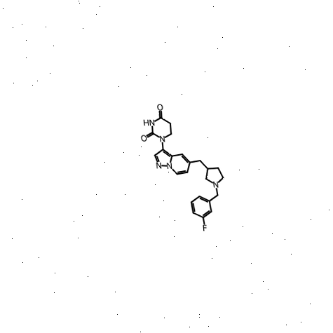 O=C1CCN(c2cnn3ccc(CC4CCN(Cc5cccc(F)c5)C4)cc23)C(=O)N1